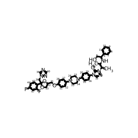 CC(NC(CO)c1ccccc1)C(C)n1ncn(-c2ccc(N3CCN(c4ccc(OCC5COC(Cn6cncn6)(c6ccc(F)cc6F)O5)cc4)CC3)cc2)c1=O